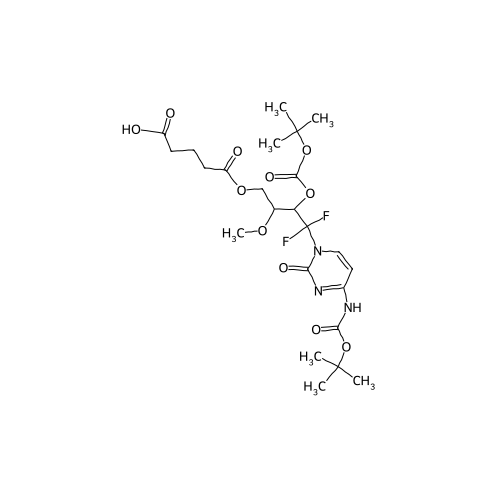 COC(COC(=O)CCCC(=O)O)C(OC(=O)OC(C)(C)C)C(F)(F)n1ccc(NC(=O)OC(C)(C)C)nc1=O